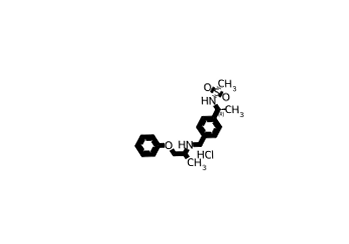 CC(COc1ccccc1)NCc1ccc([C@@H](C)NS(C)(=O)=O)cc1.Cl